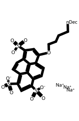 CCCCCCCCCCCCCCOc1cc(S(=O)(=O)[O-])c2ccc3c(S(=O)(=O)[O-])cc(S(=O)(=O)[O-])c4ccc1c2c43.[Na+].[Na+].[Na+]